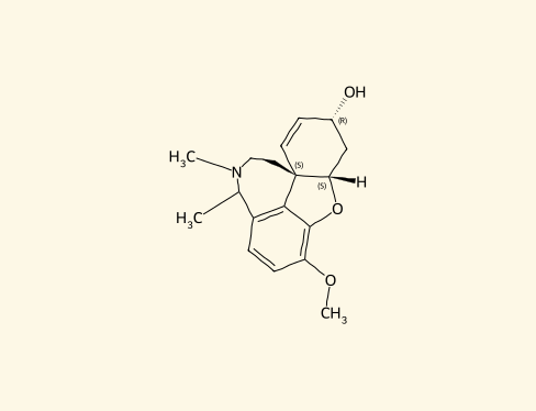 COc1ccc2c3c1O[C@H]1C[C@@H](O)C=C[C@@]31CCN(C)C2C